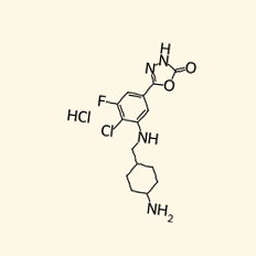 Cl.NC1CCC(CNc2cc(-c3n[nH]c(=O)o3)cc(F)c2Cl)CC1